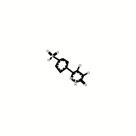 O=c1[nH]nc(-c2ccc(S(=O)(=O)Cl)cc2)c(Cl)c1Cl